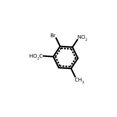 Cc1cc(C(=O)O)c(Br)c([N+](=O)[O-])c1